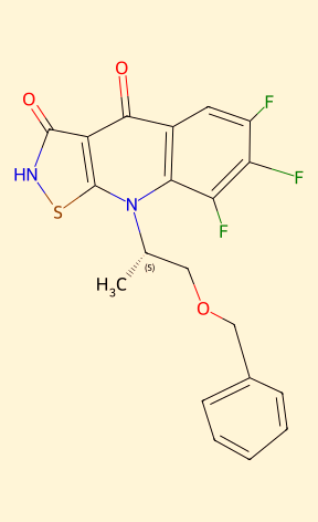 C[C@@H](COCc1ccccc1)n1c2s[nH]c(=O)c2c(=O)c2cc(F)c(F)c(F)c21